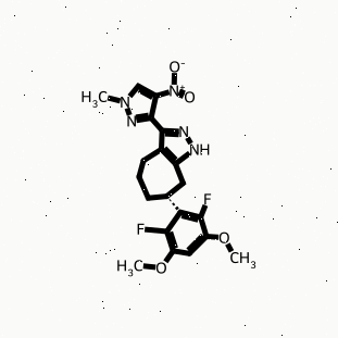 COc1cc(OC)c(F)c([C@@H]2CCCc3c(-c4nn(C)cc4[N+](=O)[O-])n[nH]c3C2)c1F